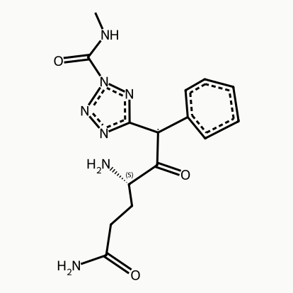 CNC(=O)n1nnc([C](C(=O)[C@@H](N)CCC(N)=O)c2ccccc2)n1